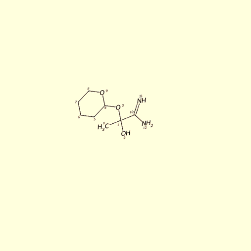 CC(O)(OC1CCCCO1)C(=N)N